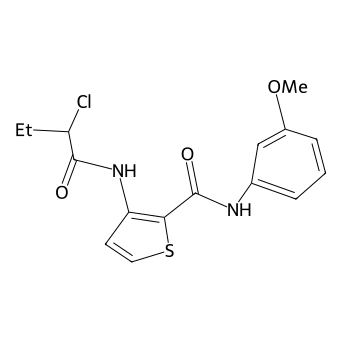 CCC(Cl)C(=O)Nc1ccsc1C(=O)Nc1cccc(OC)c1